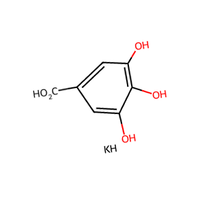 O=C(O)c1cc(O)c(O)c(O)c1.[KH]